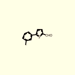 [CH2]c1cccc(-c2ccc(C=O)s2)c1